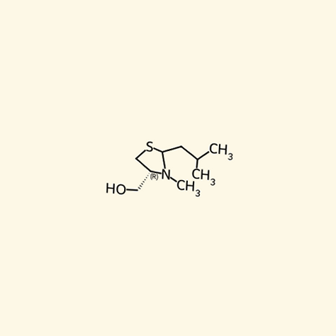 CC(C)CC1SC[C@@H](CO)N1C